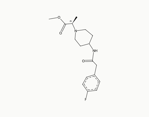 COC(=O)[C@@H](C)N1CCC(NC(=O)Cc2ccc(F)cc2)CC1